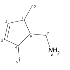 CC1C=CC(C)C1CN